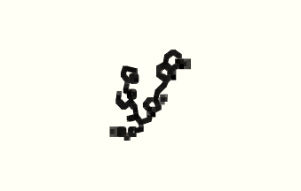 C=C(/C=C(\C=C/C)OC[C@H]1CCCO1)[C@H](CC(=O)O)CN1CC[C@@](F)(CCc2ccc3c(n2)NCCC3)C1